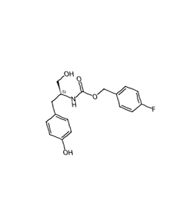 O=C(N[C@H](CO)Cc1ccc(O)cc1)OCc1ccc(F)cc1